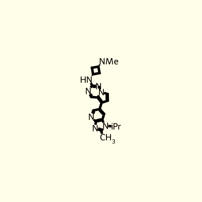 CN[C@H]1C[C@H](Nc2ncc3c(-c4cnc5nc(C)n(C(C)C)c5c4)ccn3n2)C1